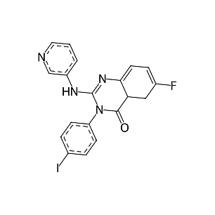 O=C1C2CC(F)=CC=C2N=C(Nc2cccnc2)N1c1ccc(I)cc1